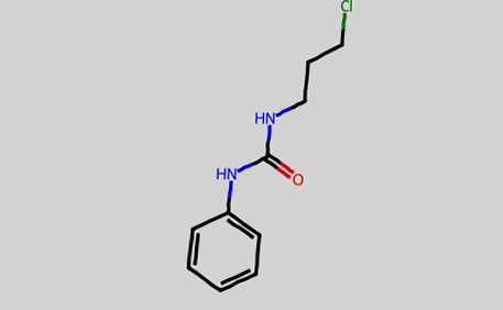 O=C(NCCCCl)Nc1ccccc1